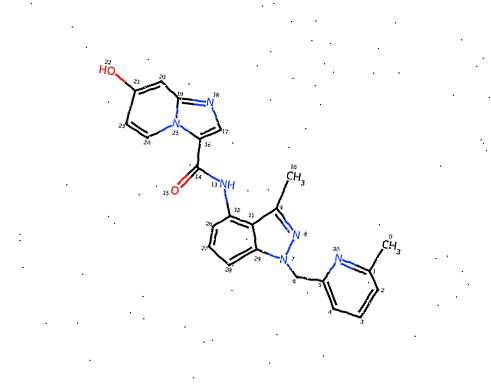 Cc1cccc(Cn2nc(C)c3c(NC(=O)c4cnc5cc(O)ccn45)cccc32)n1